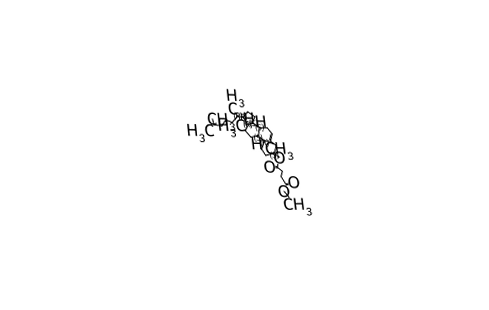 CCOC(=O)CCC(=O)O[C@H]1CC[C@@]2(C)C(=CC[C@H]3[C@@H]4CC[C@H]([C@H](C)CCCC(C)C)[C@@]4(C)CC[C@@H]32)C1